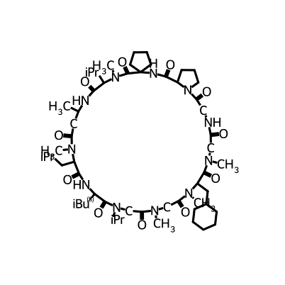 CC[C@H](C)C1NC(=O)C(CC(C)C)N(C)C(=O)CC(C)NC(=O)C(C(C)C)N(C)C(=O)C2(CCCC2)NC(=O)C2CCCN2C(=O)CNC(=O)CN(C)C(=O)C(CC2CCCCC2)N(C)C(=O)CN(C)C(=O)CN(C(C)C)C1=O